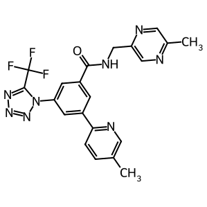 Cc1ccc(-c2cc(C(=O)NCc3cnc(C)cn3)cc(-n3nnnc3C(F)(F)F)c2)nc1